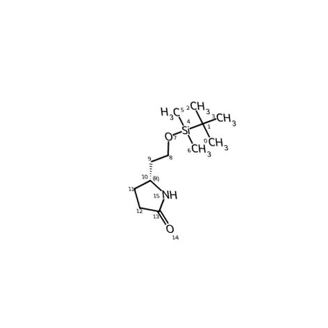 CC(C)(C)[Si](C)(C)OCC[C@H]1CCC(=O)N1